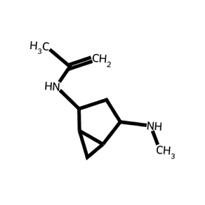 C=C(C)NC1CC(NC)C2CC12